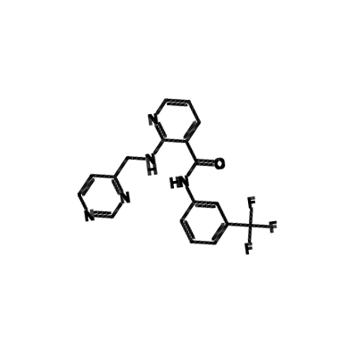 O=C(Nc1cccc(C(F)(F)F)c1)c1cccnc1NCc1ccncn1